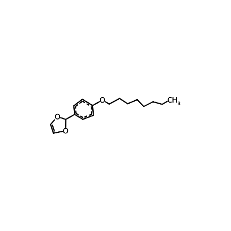 CCCCCCCCOc1ccc(C2OC=CO2)cc1